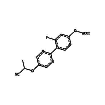 CCCCCCCCOc1ccc(-c2ncc(OC(C)C#N)cn2)c(F)c1